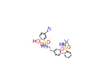 CC(C)(C)NS(=O)(=O)c1ccccc1-c1ccc(CCNS(=O)(=O)c2cc(C#N)ccc2O)cc1